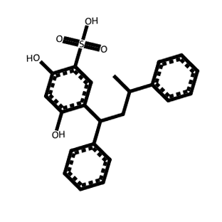 CC(CC(c1ccccc1)c1cc(S(=O)(=O)O)c(O)cc1O)c1ccccc1